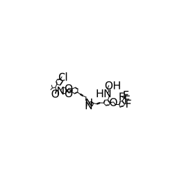 CC(C)C(C(=O)N1CCC2(CC1)Oc1ccc(C#CCCn3cc(C#Cc4ccc(OCc5ccc(F)c(C(F)(F)F)c5)c(CNCCO)c4)cn3)cc1O2)c1ccc(Cl)cc1